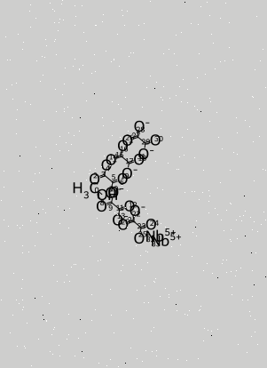 CO.O=C([O-])C(=O)[O-].O=C([O-])C(=O)[O-].O=C([O-])C(=O)[O-].O=C([O-])C(=O)[O-].O=C([O-])C(=O)[O-].[Nb+5].[Nb+5]